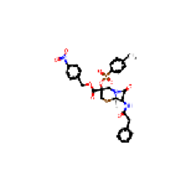 Cc1ccc(S(=O)(=O)OC2(C(=O)OCc3ccc([N+](=O)[O-])cc3)CS[C@@H]3C(NC(=O)Cc4ccccc4)C(=O)N3C2)cc1